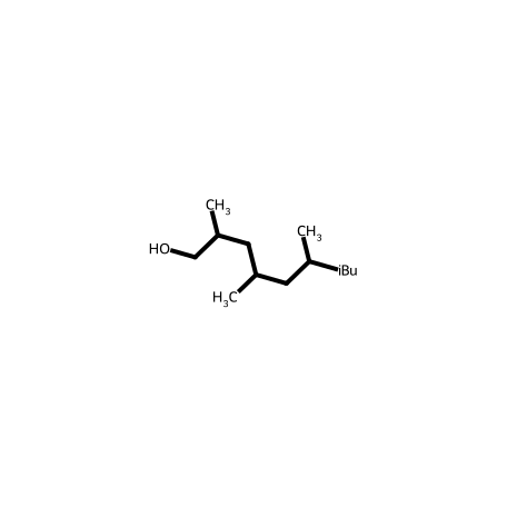 CCC(C)C(C)CC(C)CC(C)CO